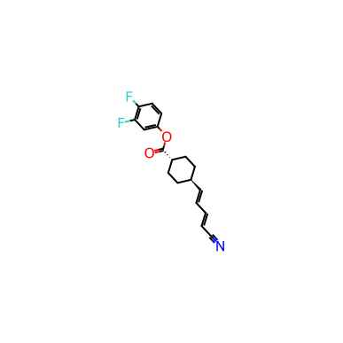 N#CC=CC=C[C@H]1CC[C@H](C(=O)Oc2ccc(F)c(F)c2)CC1